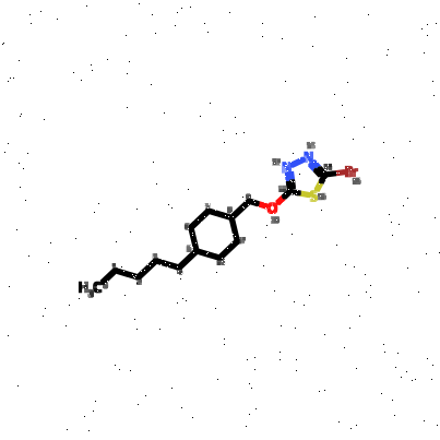 CCCCCC1CCC(COc2nnc(Br)s2)CC1